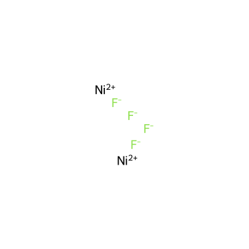 [F-].[F-].[F-].[F-].[Ni+2].[Ni+2]